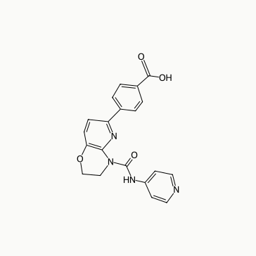 O=C(O)c1ccc(-c2ccc3c(n2)N(C(=O)Nc2ccncc2)CCO3)cc1